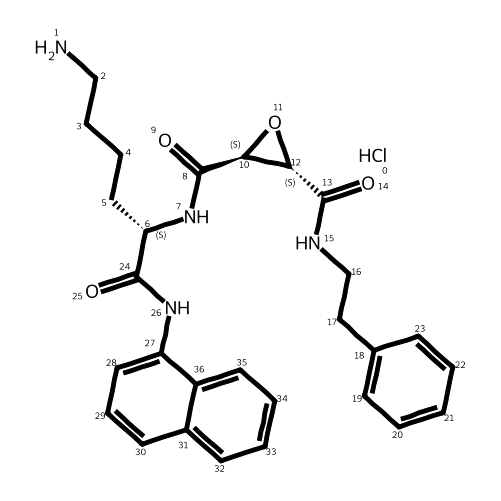 Cl.NCCCC[C@H](NC(=O)[C@H]1O[C@@H]1C(=O)NCCc1ccccc1)C(=O)Nc1cccc2ccccc12